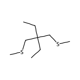 CCC(CC)(CSC)CSC